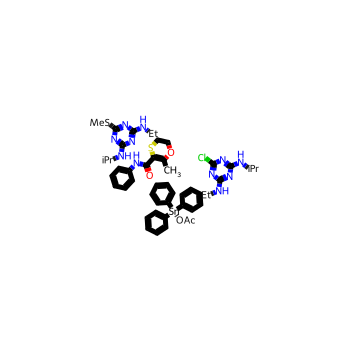 CC(=O)[O][Sn]([c]1ccccc1)([c]1ccccc1)[c]1ccccc1.CC1=C(C(=O)Nc2ccccc2)SCCO1.CCNc1nc(Cl)nc(NC(C)C)n1.CCNc1nc(NC(C)C)nc(SC)n1